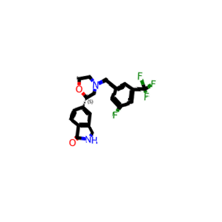 O=C1NCc2cc([C@H]3CN(Cc4cc(F)cc(C(F)(F)F)c4)CCO3)ccc21